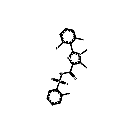 Cc1ccccc1S(=O)(=O)NC(=O)c1nc(-c2c(F)cccc2F)n(C)c1C